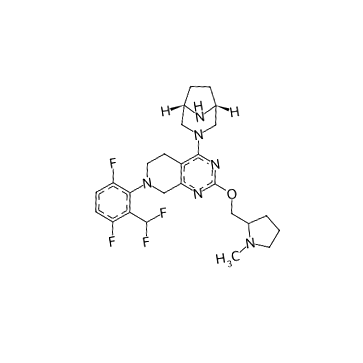 CN1CCCC1COc1nc2c(c(N3C[C@H]4CC[C@@H](C3)N4)n1)CCN(c1c(F)ccc(F)c1C(F)F)C2